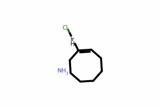 N.[Cl][IrH]/[C]1=C/CCCCCC1